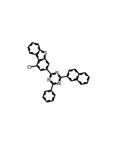 Clc1cc(-c2nc(-c3ccccc3)nc(-c3ccc4ccccc4c3)n2)cc2sc3ccccc3c12